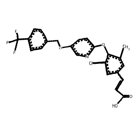 Cc1cc(C=CC(=O)O)cc(Cl)c1Oc1ccc(OCc2ccc(C(F)(F)F)cc2)cn1